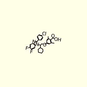 Cc1cc(OCC(C2CCCCC2)n2c(-c3ccc(Cl)cc3)nc3cc(F)c(F)cc32)cc(C)c1C(=O)O